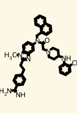 Cn1c(CCc2ccc(C(=N)N)cc2)nc2cc(N(Cc3cccc4ccccc34)C(=O)CN3CCC(Nc4ccccc4Cl)CC3)ccc21